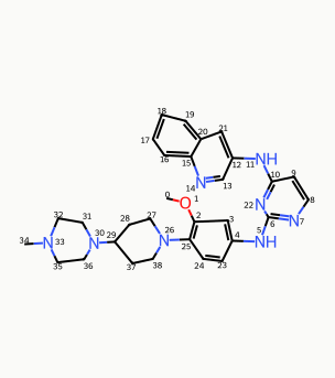 COc1cc(Nc2nccc(Nc3cnc4ccccc4c3)n2)ccc1N1CCC(N2CCN(C)CC2)CC1